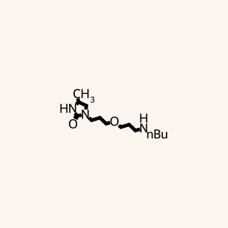 CCCCNCCCOCCCN1CC(C)NC1=O